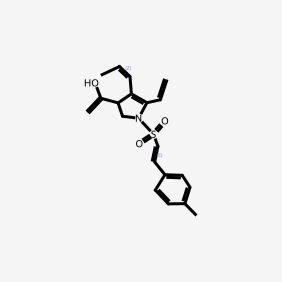 C=CC1=C(/C=C\C)C(C(=C)O)CN1S(=O)(=O)/C=C/c1ccc(C)cc1